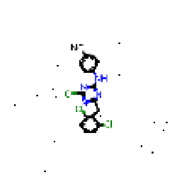 N#Cc1ccc(Nc2nc(Cl)nc(Cc3c(Cl)cccc3Cl)n2)cc1